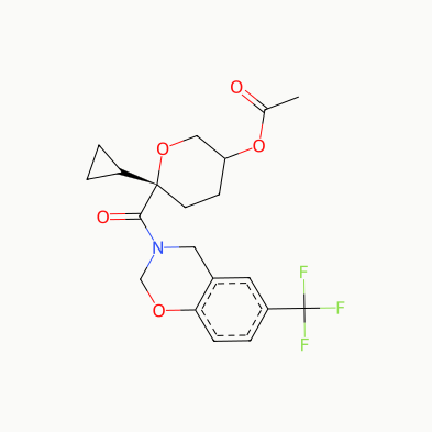 CC(=O)OC1CC[C@@](C(=O)N2COc3ccc(C(F)(F)F)cc3C2)(C2CC2)OC1